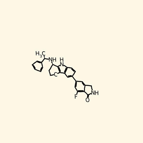 C[C@@H](N[C@@H]1CCCc2c1[nH]c1ccc(-c3cc(F)c4c(c3)CNC4=O)cc21)c1ccccc1